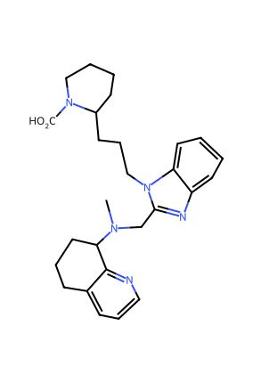 CN(Cc1nc2ccccc2n1CCCC1CCCCN1C(=O)O)C1CCCc2cccnc21